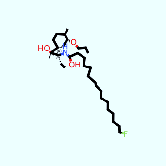 CCCO[C@@H]1C[C@H]([C@@](C)(O)[C@@H](CC)NC(O)CCCCCCCCCCCCCCCF)CCC1C